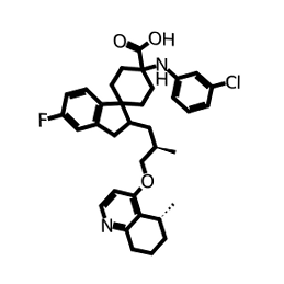 C[C@@H](COc1ccnc2c1[C@H](C)CCC2)CC1Cc2cc(F)ccc2C12CCC(Nc1cccc(Cl)c1)(C(=O)O)CC2